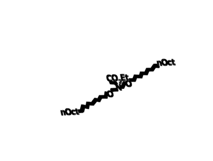 CCCCCCCCC=CCCCCCCCCOCCN(CCOCCCCCCCCC=CCCCCCCCC)CCC(=O)OCC